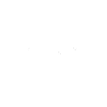 Fc1cc2c(cc1F)N1CCNCC1C2